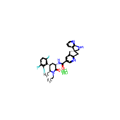 C[C@@H]1[C@H](c2c(F)ccc(F)c2F)C[C@H](NC(=O)c2cnc3c(c2)C[C@]2(CNc4ncccc42)C3)C(=O)N1CC(F)(F)F.Cl.Cl